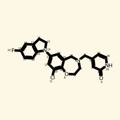 O=c1cc(CN2CCOc3c(Cl)cc(N4CCc5cc(F)ccc54)cc3C2)cc[nH]1